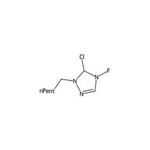 CCCCCCN1N=CN(F)C1Cl